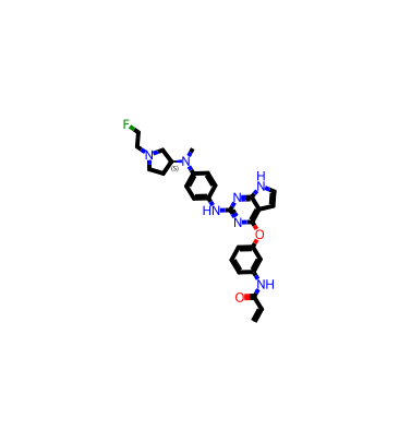 C=CC(=O)Nc1cccc(Oc2nc(Nc3ccc(N(C)[C@H]4CCN(CCF)C4)cc3)nc3[nH]ccc23)c1